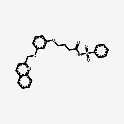 O=C(CCCOc1cccc(OCc2ccc3ccccc3n2)c1)NS(=O)(=O)c1ccccc1